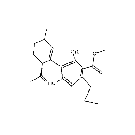 C=C(C)[C@H]1CCC(C)C=C1c1c(O)cc(CCC)c(C(=O)OC)c1O